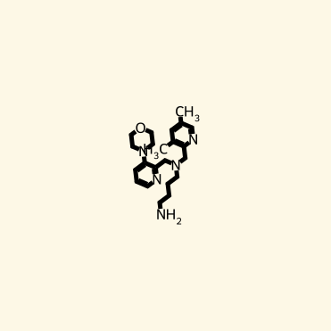 Cc1cnc(CN(CCCCN)Cc2ncccc2N2CCOCC2)c(C)c1